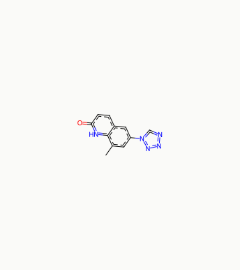 Cc1cc(-n2cnnn2)cc2ccc(=O)[nH]c12